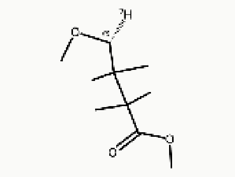 [2H][C@@H](OC)C(C)(C)C(C)(C)C(=O)OC